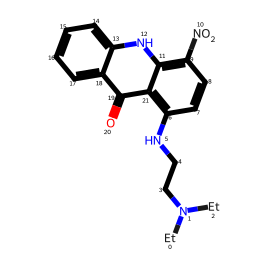 CCN(CC)CCNc1ccc([N+](=O)[O-])c2[nH]c3ccccc3c(=O)c12